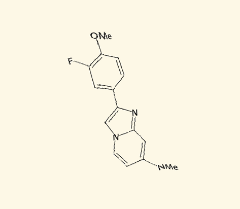 CNc1ccn2cc(-c3ccc(OC)c(F)c3)nc2c1